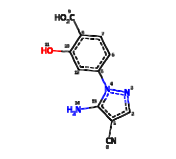 N#Cc1cnn(-c2ccc(C(=O)O)c(O)c2)c1N